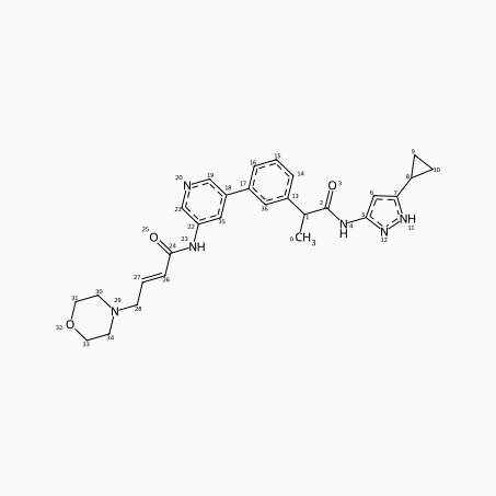 CC(C(=O)Nc1cc(C2CC2)[nH]n1)c1cccc(-c2cncc(NC(=O)C=CCN3CCOCC3)c2)c1